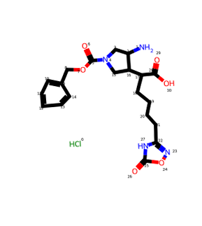 Cl.NC1CN(C(=O)OCc2ccccc2)CC1C(CCCCc1noc(=O)[nH]1)C(=O)O